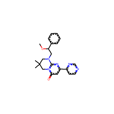 COC(CN1CC(C)(C)Cn2c1nc(-c1ccncn1)cc2=O)c1ccccc1